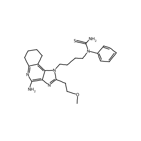 COCCc1nc2c(N)nc3c(c2n1CCCCN(C(N)=S)c1ccccc1)CCCC3